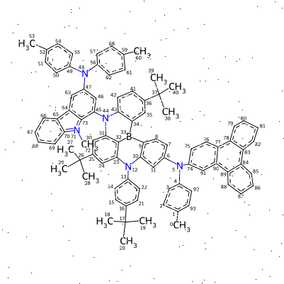 Cc1ccc(N(c2ccc3c(c2)N(c2ccc(C(C)(C)C)cc2)c2cc(C(C)(C)C)cc4c2B3c2cc(C(C)(C)C)ccc2N4c2cc(N(c3ccc(C)cc3)c3ccc(C)cc3)cc3c4ccccc4n(C)c23)c2ccc3c4ccccc4c4ccccc4c3c2)cc1